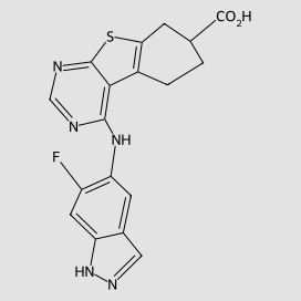 O=C(O)C1CCc2c(sc3ncnc(Nc4cc5cn[nH]c5cc4F)c23)C1